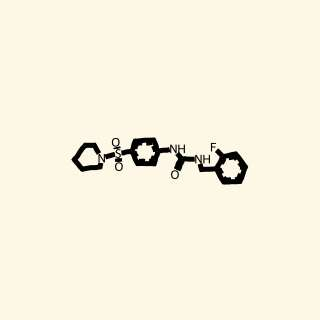 O=C(NCc1ccccc1F)Nc1ccc(S(=O)(=O)N2CCCCC2)cc1